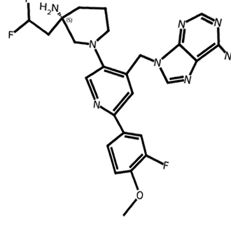 COc1ccc(-c2cc(Cn3cnc4c(N)ncnc43)c(N3CCC[C@](N)(CC(F)F)C3)cn2)cc1F